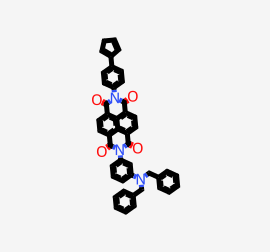 O=C1c2ccc3c4c(ccc(c24)C(=O)N1c1ccc(C2=CCC=C2)cc1)C(=O)N(c1cccc(N(Cc2ccccc2)Cc2ccccc2)c1)C3=O